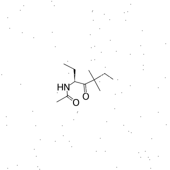 CC[C@H](NC(C)=O)C(=O)C(C)(C)CC